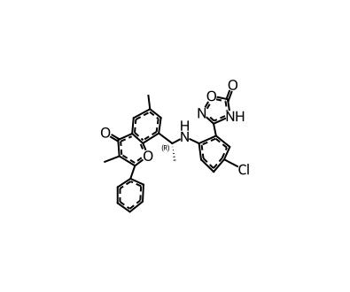 Cc1cc([C@@H](C)Nc2ccc(Cl)cc2-c2noc(=O)[nH]2)c2oc(-c3ccccc3)c(C)c(=O)c2c1